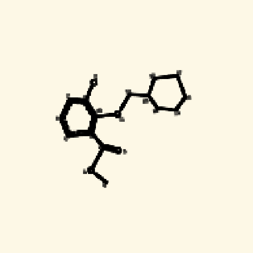 COC(=O)c1cccc(Cl)c1OCC1CCCCC1